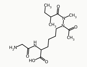 CCC(C)C(=O)N(C)N(CCCCC(NC(=O)CN)C(=O)O)C(C)=O